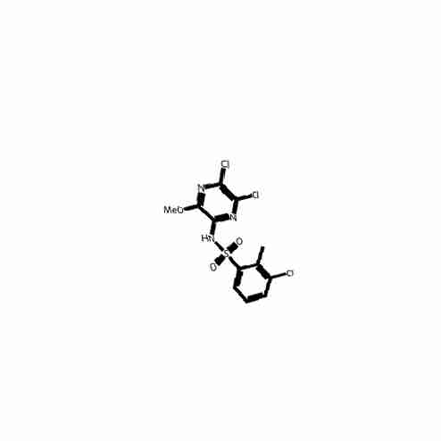 COc1nc(Cl)c(Cl)nc1NS(=O)(=O)c1cccc(Cl)c1C